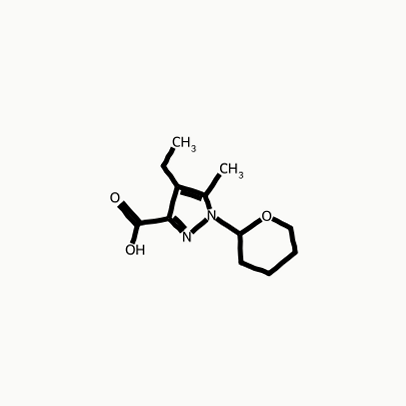 CCc1c(C(=O)O)nn(C2CCCCO2)c1C